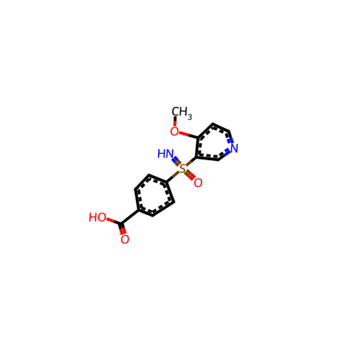 COc1ccncc1S(=N)(=O)c1ccc(C(=O)O)cc1